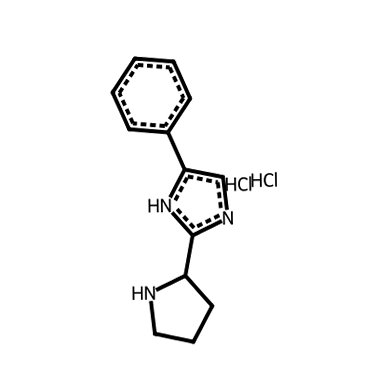 Cl.Cl.c1ccc(-c2cnc(C3CCCN3)[nH]2)cc1